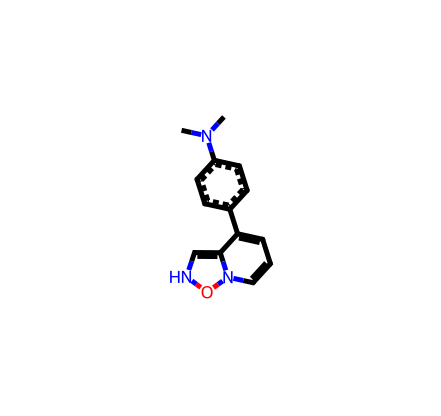 CN(C)c1ccc(C2=CC=CN3ONC=C23)cc1